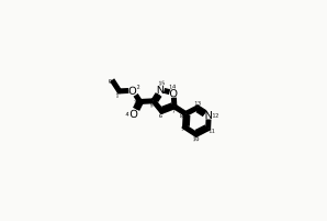 CCOC(=O)c1cc(-c2cccnc2)on1